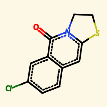 O=c1c2cc(Cl)ccc2cc2n1CCS2